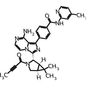 CC#CC(=O)N1C[C@H]2[C@@H]([C@H]1c1nc(-c3ccc(C(=O)Nc4cc(C)ccn4)cc3)c3c(N)nccn13)C2(C)C